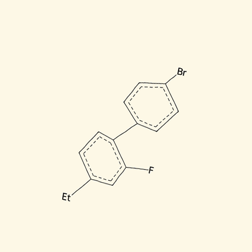 CCc1ccc(-c2ccc(Br)cc2)c(F)c1